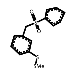 CSSc1cccc(CS(=O)(=O)c2ccccc2)c1